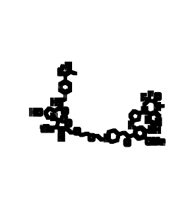 COc1cc(C(=O)CC2CCN(CCOCCOCC(=O)N[C@H](C(=O)N3C[C@H](O)C[C@H]3C(=O)NCc3ccc(-c4scnc4C)cc3)C(C)(C)C)CC2)c(F)cc1Nc1ncc2c(n1)N(C1CCCC1)CC(F)(F)C(=O)N2C